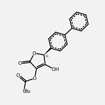 CC(C)(C)C(=O)OC1=C(O)[C@H](c2ccc(-c3ccccc3)cc2)OC1=O